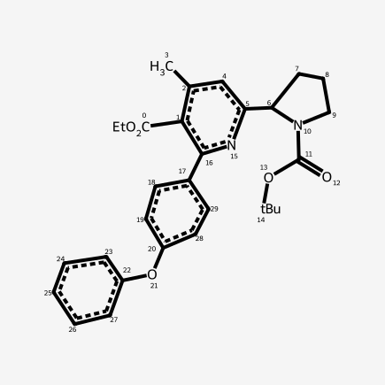 CCOC(=O)c1c(C)cc(C2CCCN2C(=O)OC(C)(C)C)nc1-c1ccc(Oc2ccccc2)cc1